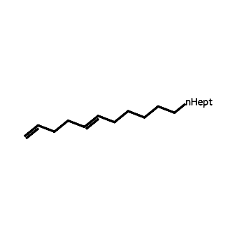 [CH2]CCCCCCCCCCCC=CCCC=C